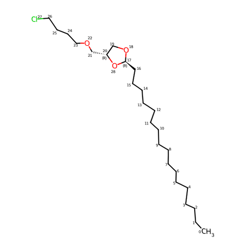 CCCCCCCCCCCCCCCCC[C@@H]1OC[C@@H](COCCCCCl)O1